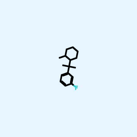 CC1CCCCC1C(C)(C)c1cccc(F)c1